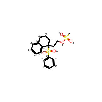 CS(=O)(=O)OCCC1(S(=O)(=O)c2ccccc2)CCCc2ccccc21